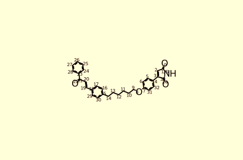 O=C1C=C(c2ccc(OCCCCCCc3ccc(C=CC(=O)c4ccccc4)cc3)cc2)C(=O)N1